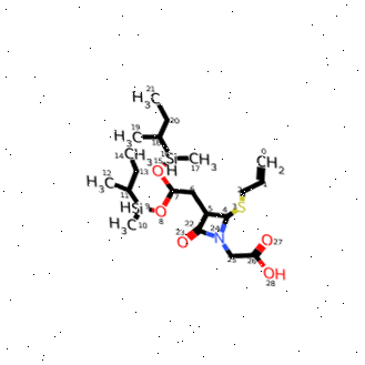 C=CCSC1C(CC(O[SiH](C)C(C)CC)O[SiH](C)C(C)CC)C(=O)N1CC(=O)O